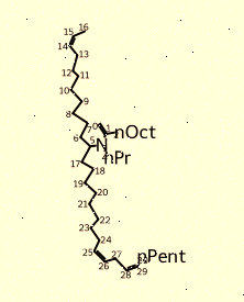 C=C(CCCCCCCC)N(CCC)C(CCCCCCCC/C=C\C)CCCCCCCC/C=C\C/C=C\CCCCC